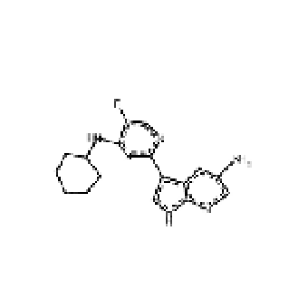 Nc1cnc2[nH]cc(-c3ncc(F)c(NC4CCCCC4)n3)c2c1